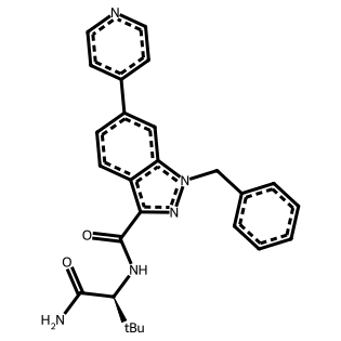 CC(C)(C)[C@H](NC(=O)c1nn(Cc2ccccc2)c2cc(-c3ccncc3)ccc12)C(N)=O